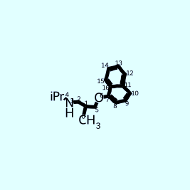 CC(CNC(C)C)COc1cccc2ccccc12